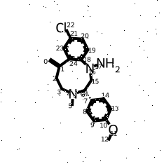 C=C1CCN(C)[C@@H](c2ccc(OC)cc2)CN(N)c2ccc(Cl)cc21